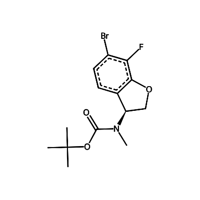 CN(C(=O)OC(C)(C)C)[C@@H]1COc2c1ccc(Br)c2F